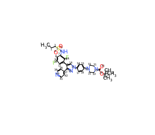 CCCS(=O)(=O)Nc1cc(F)cc(-c2cn(-c3ccc(N4CCN(C(=O)OC(C)(C)C)CC4)cc3)nc2-c2ccncc2)c1F